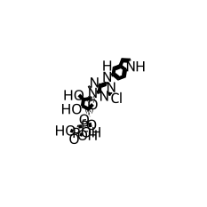 O=P(O)(O)CP(=O)(O)OC[C@H]1O[C@@H](n2cnc3c(Nc4ccc5[nH]ccc5c4)nc(Cl)nc32)C(O)C1O